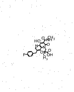 CNC(=O)c1c(O)c2ncc(Cc3ccc(F)cc3)c3c2n(c1=O)C[C@](C)(C(=O)O)O3